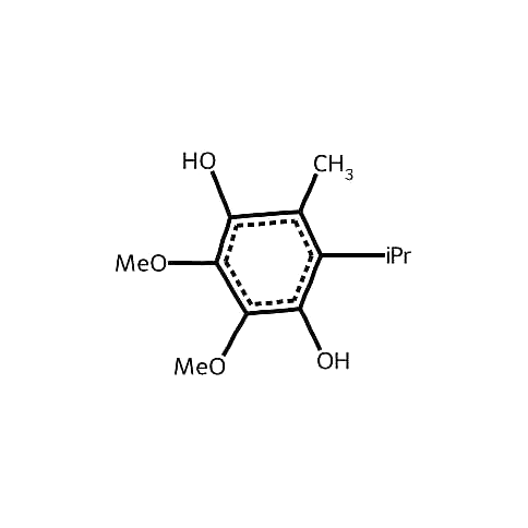 COc1c(O)c(C)c(C(C)C)c(O)c1OC